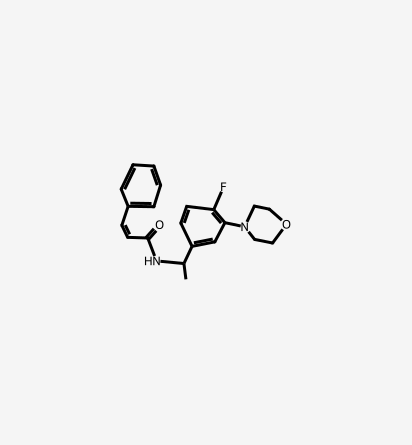 CC(NC(=O)/C=C\c1ccccc1)c1ccc(F)c(N2CCOCC2)c1